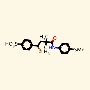 CSc1ccc(NC(=O)C(C)(C)CC(Br)c2ccc(S(=O)(=O)O)cc2)cc1